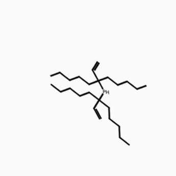 C=CC(CCCCC)(CCCCC)PC(C=C)(CCCCC)CCCCC